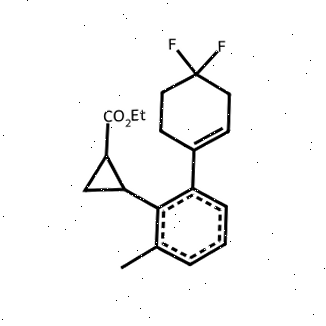 CCOC(=O)C1CC1c1c(C)cccc1C1=CCC(F)(F)CC1